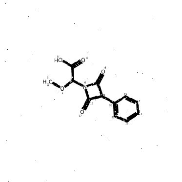 COC(C(=O)O)N1C(=O)C(c2ccccc2)C1=O